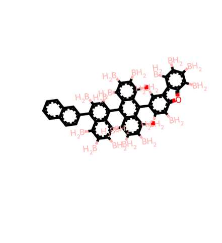 Bc1c(B)c(B)c2c(oc3c(B)c(B)c(-c4c5c(B)c(B)c(B)c(B)c5c(-c5c(B)c(B)c(-c6ccc7ccccc7c6)c6c(B)c(B)c(B)c(B)c56)c5c(B)c(B)c(B)c(B)c45)c(B)c32)c1B